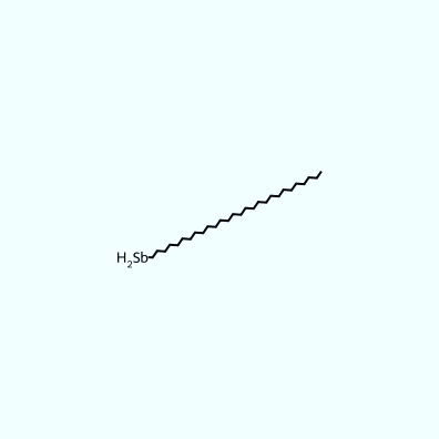 CCCCCCCCCCCCCCCCCCCCCCCCCCC[CH2][SbH2]